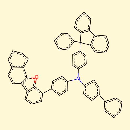 c1ccc(-c2ccc(N(c3ccc(-c4cccc5c4oc4c6ccccc6ccc54)cc3)c3ccc(C4(c5ccccc5)c5ccccc5-c5ccccc54)cc3)cc2)cc1